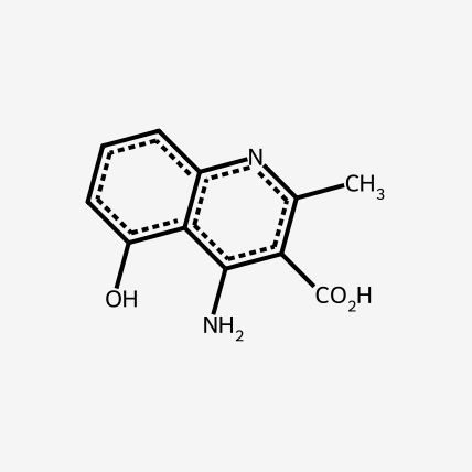 Cc1nc2cccc(O)c2c(N)c1C(=O)O